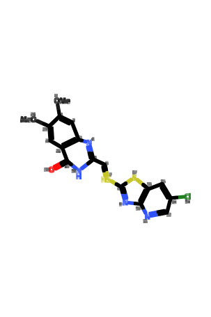 COc1cc2nc(C=[SH]c3nc4ncc(Cl)cc4s3)[nH]c(=O)c2cc1OC